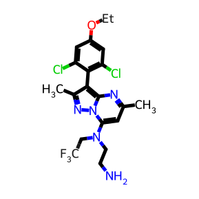 CCOc1cc(Cl)c(-c2c(C)nn3c(N(CCN)CC(F)(F)F)cc(C)nc23)c(Cl)c1